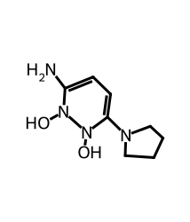 NC1=CC=C(N2CCCC2)N(O)N1O